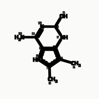 Cc1[nH]c2c(c1C)NC(O)N=C2N